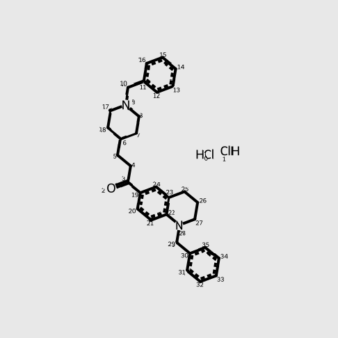 Cl.Cl.O=C(CCC1CCN(Cc2ccccc2)CC1)c1ccc2c(c1)CCCN2Cc1ccccc1